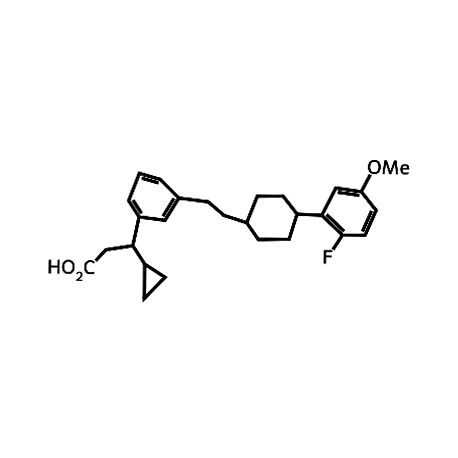 COc1ccc(F)c(C2CCC(CCc3cccc(C(CC(=O)O)C4CC4)c3)CC2)c1